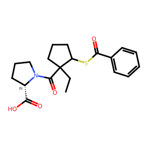 CCC1(C(=O)N2CCC[C@H]2C(=O)O)CCCC1SC(=O)c1ccccc1